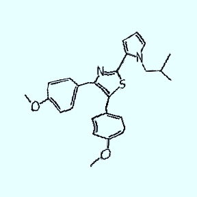 COc1ccc(-c2nc(-c3cccn3CC(C)C)sc2-c2ccc(OC)cc2)cc1